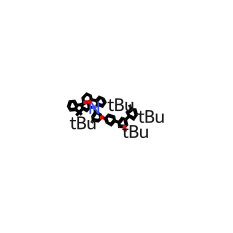 CC(C)(C)c1cc(-c2ccc(-c3cc(N(c4ccc5c(c4)C(C)(C)c4ccccc4-5)c4ccccc4C4CCCCC4)cc(C(C)(C)C)c3)cc2)cc(-c2cc(C(C)(C)C)cc(C(C)(C)C)c2)c1